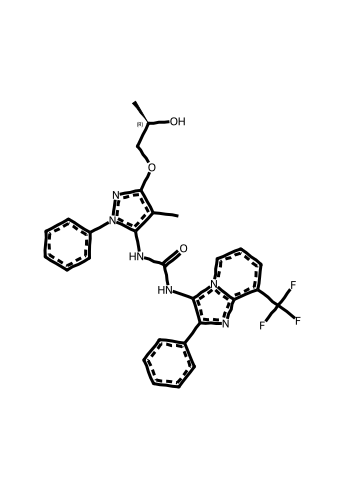 Cc1c(OC[C@@H](C)O)nn(-c2ccccc2)c1NC(=O)Nc1c(-c2ccccc2)nc2c(C(F)(F)F)cccn12